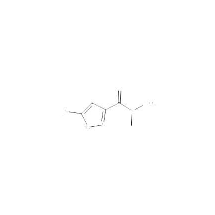 CON(C)C(=O)c1cc(N)[nH]n1